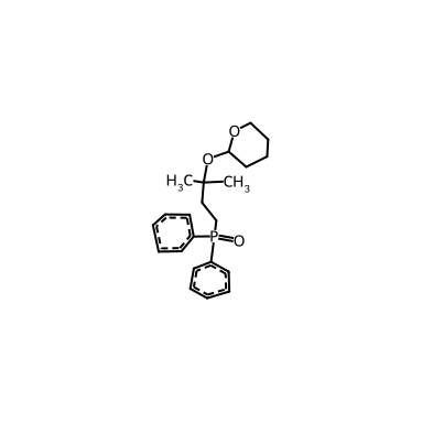 CC(C)(CCP(=O)(c1ccccc1)c1ccccc1)OC1CCCCO1